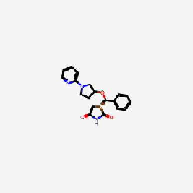 O=C1CS(=C(OC2CCN(c3ccccn3)C2)c2ccccc2)C(=O)N1